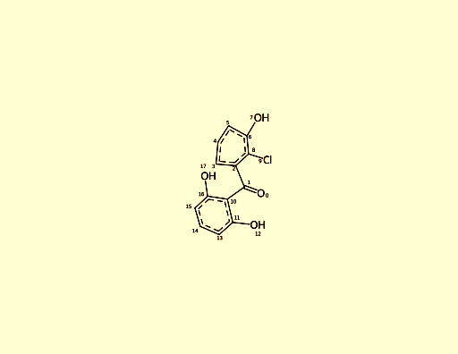 O=C(c1cccc(O)c1Cl)c1c(O)cccc1O